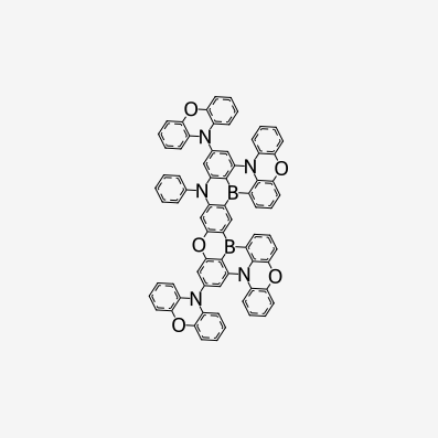 c1ccc(N2c3cc4c(cc3B3c5cccc6c5N(c5ccccc5O6)c5cc(N6c7ccccc7Oc7ccccc76)cc2c53)B2c3cccc5c3N(c3ccccc3O5)c3cc(N5c6ccccc6Oc6ccccc65)cc(c32)O4)cc1